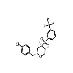 C[C@]1(S(=O)(=O)c2cccc(C(F)(F)F)c2)CCO[C@H](Cc2ccc(Cl)cc2)C1